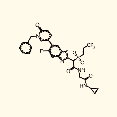 O=C(CNC(=O)C(c1nc2cc(F)c(-c3ccc(=O)n(Cc4ccccc4)c3)cc2s1)S(=O)(=O)CCC(F)(F)F)NC1CC1